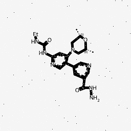 CCNC(=O)Nc1cc(N2C[C@@H](C)O[C@@H](C)C2)c(-c2cncc(C(=O)NN)c2)cn1